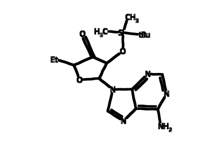 CCC1OC(n2cnc3c(N)ncnc32)C(O[Si](C)(C)C(C)(C)C)C1=O